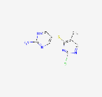 Cc1cnc(Cl)nc1Sc1cnc(N)nc1